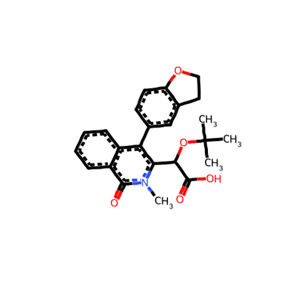 Cn1c(C(OC(C)(C)C)C(=O)O)c(-c2ccc3c(c2)CCO3)c2ccccc2c1=O